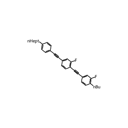 CCCCCCCc1ccc(C#Cc2ccc(C#Cc3ccc(CCCC)c(F)c3)c(F)c2)cc1